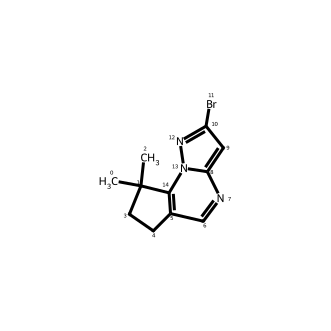 CC1(C)CCc2cnc3cc(Br)nn3c21